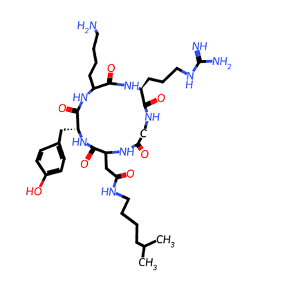 CC(C)CCCCNC(=O)CC1NC(=O)CNC(=O)[C@H](CCCNC(=N)N)NC(=O)C(CCCCN)NC(=O)[C@@H](Cc2ccc(O)cc2)NC1=O